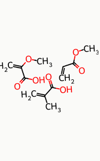 C=C(C)C(=O)O.C=C(OC)C(=O)O.C=CC(=O)OC